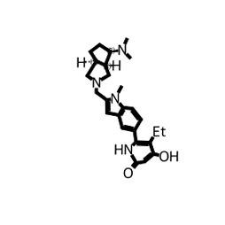 CCc1c(O)cc(=O)[nH]c1-c1ccc2c(c1)cc(CN1C[C@H]3CC[C@@H](N(C)C)[C@H]3C1)n2C